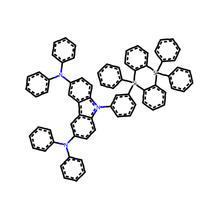 c1ccc(N(c2ccccc2)c2ccc3c(c2)c2cc(N(c4ccccc4)c4ccccc4)ccc2n3-c2cccc([Si]3(c4ccccc4)c4ccccc4[Si](c4ccccc4)(c4ccccc4)c4ccccc43)c2)cc1